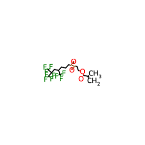 C=C(C)C(=O)OCCS(=O)(=O)CCCC(CC(F)(C(F)(F)F)C(F)(F)F)C(F)(F)F